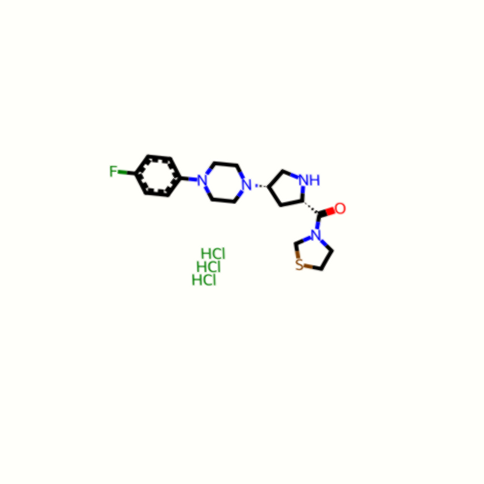 Cl.Cl.Cl.O=C([C@@H]1C[C@H](N2CCN(c3ccc(F)cc3)CC2)CN1)N1CCSC1